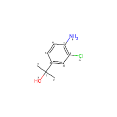 CC(C)(O)c1ccc(N)c(Cl)c1